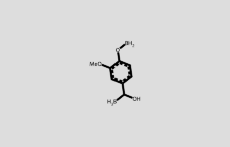 BOc1ccc(C(B)O)cc1OC